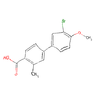 COc1ccc(-c2ccc(C(=O)O)c(C)c2)cc1Br